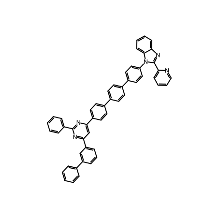 c1ccc(-c2cccc(-c3cc(-c4ccc(-c5ccc(-c6ccc(-n7c(-c8ccccn8)nc8ccccc87)cc6)cc5)cc4)nc(-c4ccccc4)n3)c2)cc1